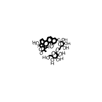 CC1=C(C)C(=O)OC([C@@](C)(O)C2CCC3C4CC=C5C[C@@H](OC6OC(COC7OC(CO)C(O)C(O)C7O)C(O)C(O)C6O)C[C@H](O)[C@]5(C)C4CC[C@@]32C)C1